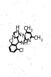 Cc1cc(C)nc(NC(c2nc[nH]n2)c2c(Cl)cccc2Cl)n1